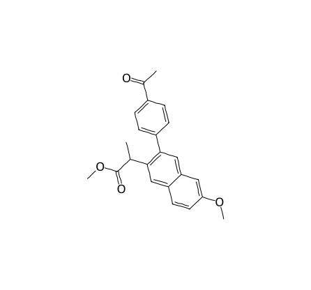 COC(=O)C(C)c1cc2ccc(OC)cc2cc1-c1ccc(C(C)=O)cc1